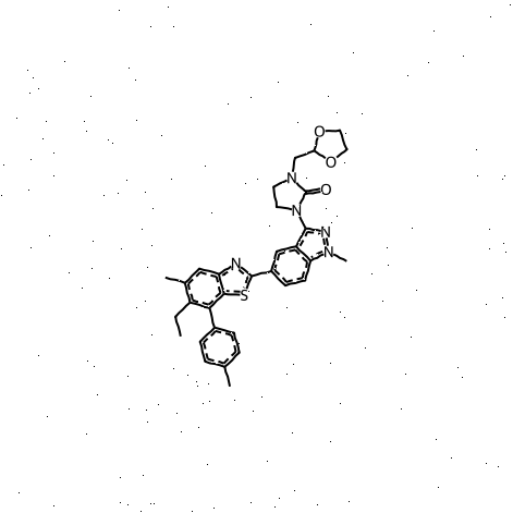 CCc1c(C)cc2nc(-c3ccc4c(c3)c(N3CCN(CC5OCCO5)C3=O)nn4C)sc2c1-c1ccc(C)cc1